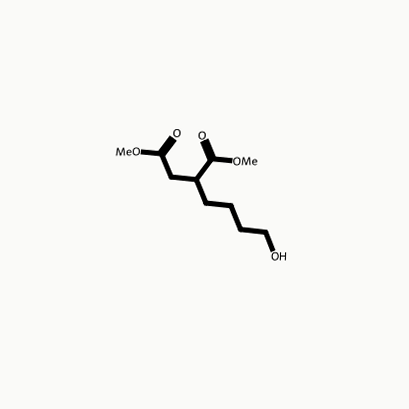 COC(=O)CC(CCCCO)C(=O)OC